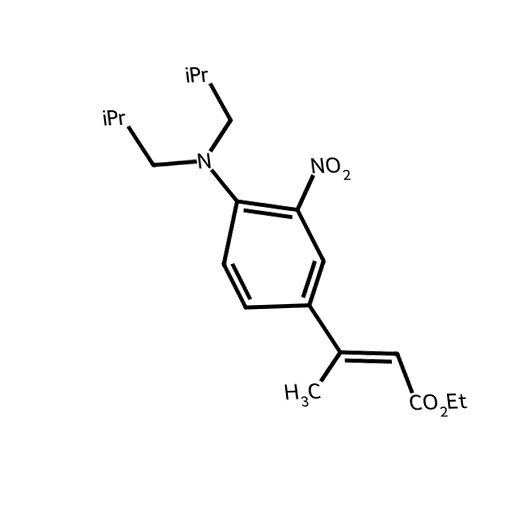 CCOC(=O)C=C(C)c1ccc(N(CC(C)C)CC(C)C)c([N+](=O)[O-])c1